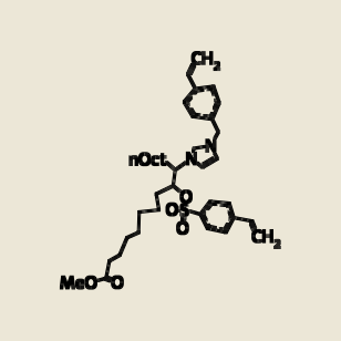 C=Cc1ccc(CN2C=CN(C(CCCCCCCC)C(CCCCCCCC(=O)OC)OS(=O)(=O)c3ccc(C=C)cc3)C2)cc1